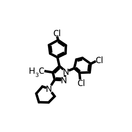 Cc1c(N2CCCCC2)nn(-c2ccc(Cl)cc2Cl)c1-c1ccc(Cl)cc1